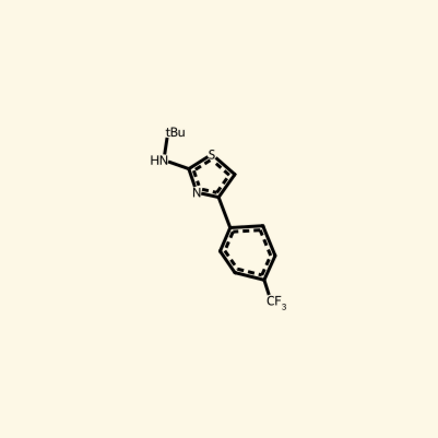 CC(C)(C)Nc1nc(-c2ccc(C(F)(F)F)cc2)cs1